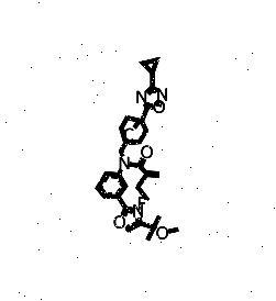 C=C(CCF)C(=O)N(CC12CCC(c3nc(C4CC4)no3)(CC1)CC2)c1cccc(-c2nc(C(C)(C)OC)co2)c1